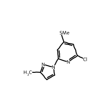 CSc1cc(Cl)nc(-n2ccc(C)n2)c1